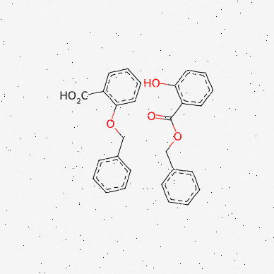 O=C(O)c1ccccc1OCc1ccccc1.O=C(OCc1ccccc1)c1ccccc1O